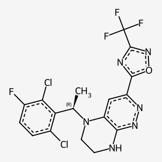 C[C@H](c1c(Cl)ccc(F)c1Cl)N1CCNc2nnc(-c3nc(C(F)(F)F)no3)cc21